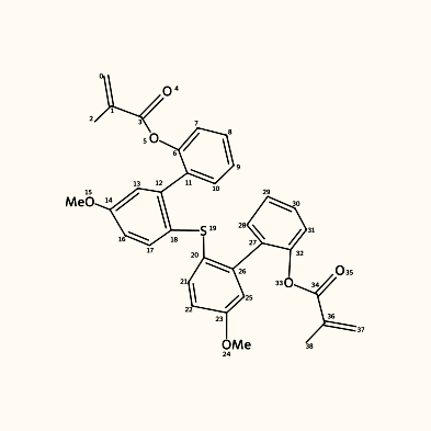 C=C(C)C(=O)Oc1ccccc1-c1cc(OC)ccc1Sc1ccc(OC)cc1-c1ccccc1OC(=O)C(=C)C